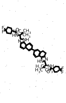 CC(C)(C)C(NC(=O)C1CCC(F)(F)CC1)c1nc2ccc3cc(-c4ccc5c(c4)CCc4nc([C@@H](NC(=O)C6CCC(F)(F)CC6)C(C)(C)C)[nH]c4-5)ccc3c2[nH]1